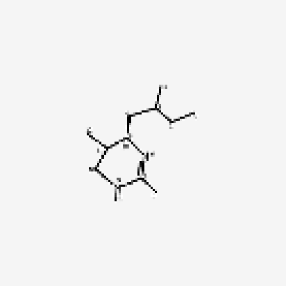 CCC(C)C[C@H]1N=C(C)NCC1C